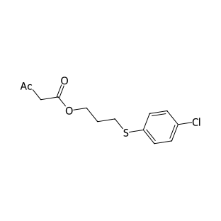 CC(=O)CC(=O)OCCCSc1ccc(Cl)cc1